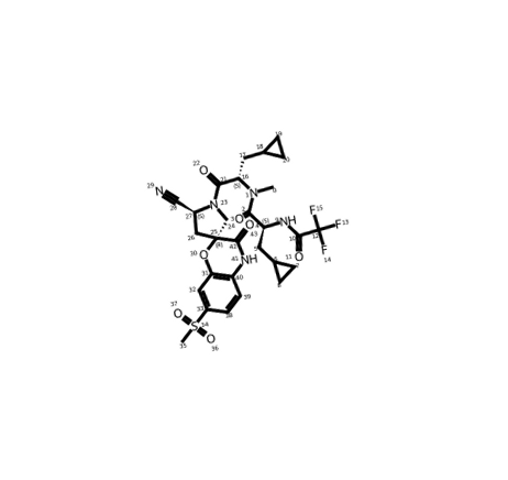 CN(C(=O)[C@H](CC1CC1)NC(=O)C(F)(F)F)[C@@H](CC1CC1)C(=O)N1C[C@@]2(C[C@H]1C#N)Oc1cc(S(C)(=O)=O)ccc1NC2=O